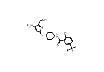 Nc1cn(C[C@H]2CC[C@H](NC(=O)c3cc(C(F)(F)F)ccc3Cl)CC2)nc1CO